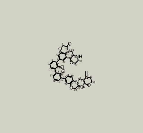 O=C1COc2cc(-c3cccc(-c4cccc(-c5ccc6c(c5)OCC(=O)N6C[C@@H]5COCCN5)c4Cl)c3Cl)ccc2N1C[C@@H]1COCCN1